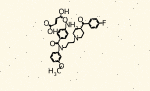 COc1cccc(N(CCCN2CCC(C(=O)c3ccc(F)cc3)CC2)C(=O)c2ccc(N)cc2)c1.O=C(O)C=CC(=O)O